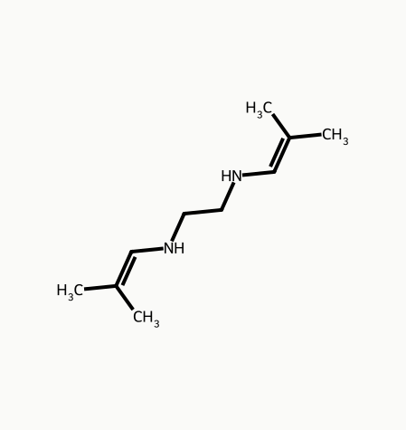 CC(C)=CNCCNC=C(C)C